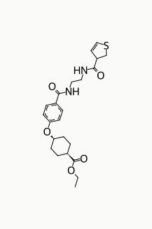 CCOC(=O)[C@H]1CC[C@@H](Oc2ccc(C(=O)NCCNC(=O)C3C=CSC3)cc2)CC1